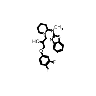 CN(c1nc2ccccc2s1)C1CCCCN1CC(O)COc1ccc(F)c(F)c1